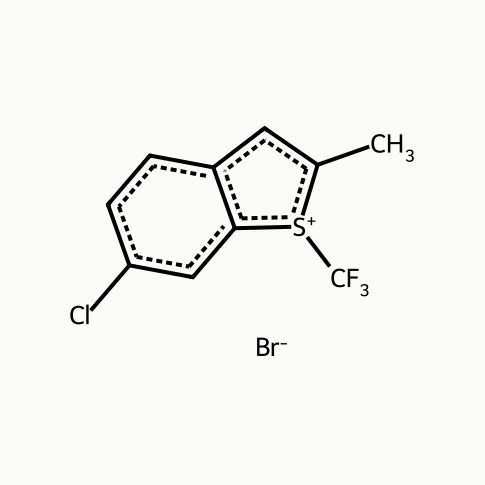 Cc1cc2ccc(Cl)cc2[s+]1C(F)(F)F.[Br-]